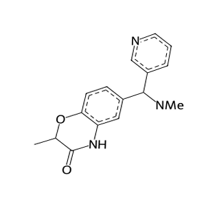 CNC(c1cccnc1)c1ccc2c(c1)NC(=O)C(C)O2